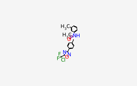 Cc1cccc(NP(C)(=O)Cc2ccc(-c3noc(C(F)(F)Cl)n3)cc2)c1